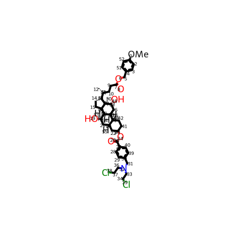 COc1ccc(COC(=O)CC[C@@H](C)[C@H]2CC[C@H]3[C@@H]4[C@H](O)C[C@@H]5C[C@H](OC(=O)c6ccc(CN(CCCl)CCCl)cc6)CC[C@]5(C)[C@H]4C[C@H](O)[C@]23C)cc1